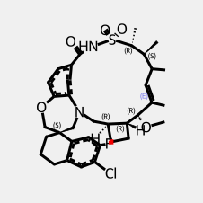 CO[C@H]1/C(C)=C/C(C)[C@H](C)[C@@H](C)S(=O)(=O)NC(=O)c2ccc3c(c2)N(C[C@@H]2CC[C@H]21)C[C@@]1(CCCc2cc(Cl)c(F)cc21)CO3